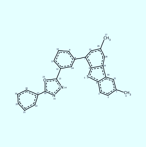 Cc1ccc2sc3c(-c4cccc(-c5nnc(-c6ccccc6)o5)c4)cc(C)cc3c2c1